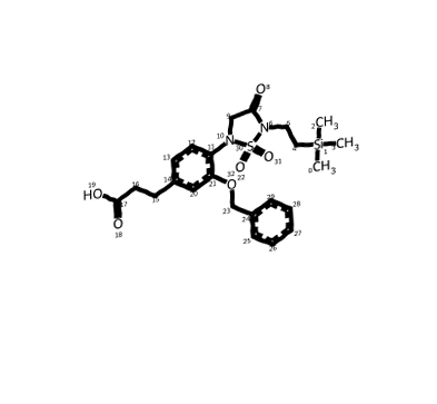 C[Si](C)(C)CCN1C(=O)CN(c2ccc(CCC(=O)O)cc2OCc2ccccc2)S1(=O)=O